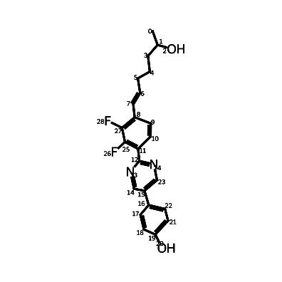 CC(O)CCC/C=C/c1ccc(-c2ncc(-c3ccc(O)cc3)cn2)c(F)c1F